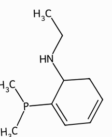 CCNC1CC=CC=C1P(C)C